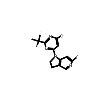 CC(F)(F)c1nc(Cl)cc(N2CCc3cnc(Cl)cc32)n1